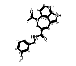 CC(=O)N1CC(C(=O)NCc2cccc(Cl)c2)=Cc2c[nH]c3nccc1c23